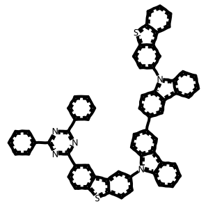 c1ccc(-c2nc(-c3ccccc3)nc(-c3ccc4sc5ccc(-n6c7ccccc7c7cc(-c8ccc9c(c8)c8ccccc8n9-c8ccc9sc%10ccccc%10c9c8)ccc76)cc5c4c3)n2)cc1